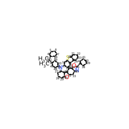 CC1(C)c2ccccc2-c2cc(N(c3ccc4c(c3)sc3ccccc34)c3cccc4oc5cc6nc(-c7ccccc7)oc6cc5c34)ccc21